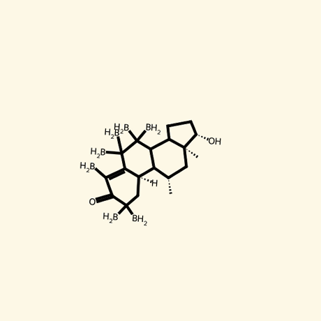 BC1=C2[C@H](CC(B)(B)C1=O)C1C(C3CC[C@H](O)[C@@]3(C)C[C@@H]1C)C(B)(B)C2(B)B